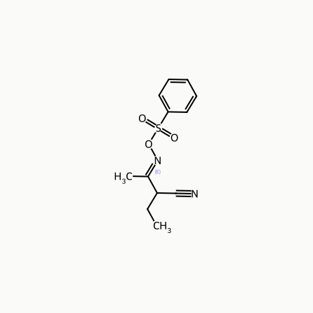 CCC(C#N)/C(C)=N/OS(=O)(=O)c1ccccc1